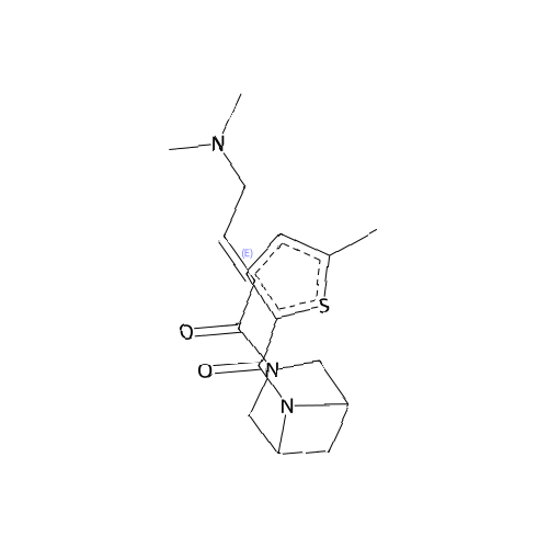 Cc1ccc(C(=O)N2C3CC2CN(C(=O)/C=C/CN(C)C)C3)s1